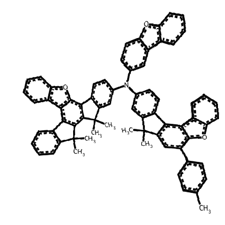 Cc1ccc(-c2cc3c(c4c2oc2ccccc24)-c2ccc(N(c4ccc5c(c4)C(C)(C)c4c6c(c7c(oc8ccccc87)c4-5)-c4ccccc4C6(C)C)c4ccc5oc6ccccc6c5c4)cc2C3(C)C)cc1